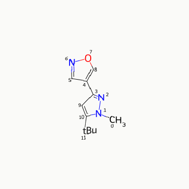 Cn1nc(-c2cnoc2)cc1C(C)(C)C